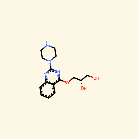 OC[C@H](O)COc1nc(N2CCNCC2)nc2ccccc12